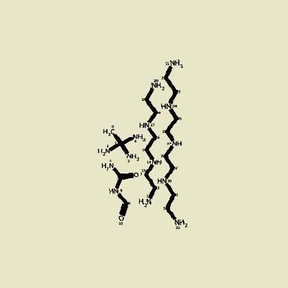 CC(N)(N)N.NC(=O)NC=O.NCCNCCNCCN.NCCNCCNCCNCCN